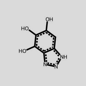 Oc1cc2[nH]nnc2c(O)c1O